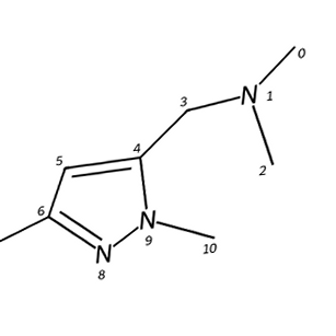 CN(C)Cc1cc(Cl)nn1C